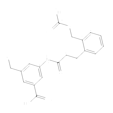 CCc1cc(NC(=O)CCc2ccccc2CSC(C)=O)cc(C(=O)O)c1